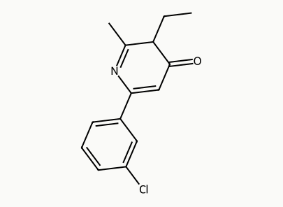 CCC1C(=O)C=C(c2cccc(Cl)c2)N=C1C